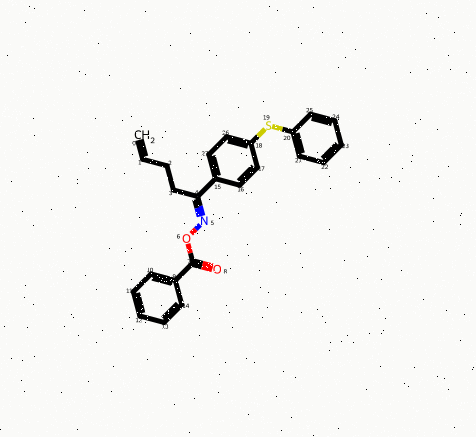 C=CCC/C(=N\OC(=O)c1ccccc1)c1ccc(Sc2ccccc2)cc1